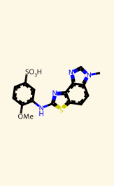 COc1ccc(S(=O)(=O)O)cc1Nc1nc2c(ccc3c2ncn3C)s1